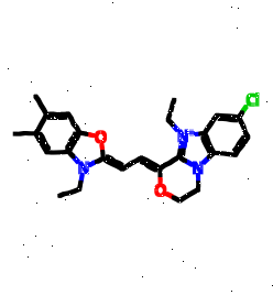 CCN1C(=CC=C2OCCn3c2[n+](CC)c2cc(Cl)ccc23)Oc2cc(C)c(C)cc21